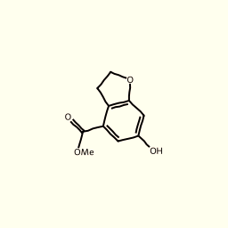 COC(=O)c1cc(O)cc2c1CCO2